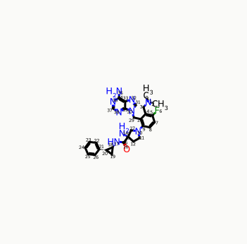 CN(C)Cc1c(F)ccc(N2CC[C@](N)(C(=O)N[C@H]3C[C@@H]3c3ccccc3)C2)c1Cn1cnc2c(N)ncnc21